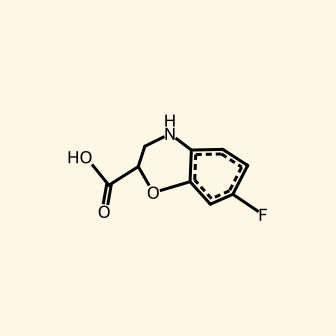 O=C(O)C1CNc2ccc(F)cc2O1